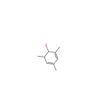 CC1=CC(C)C(I)C(C)=C1